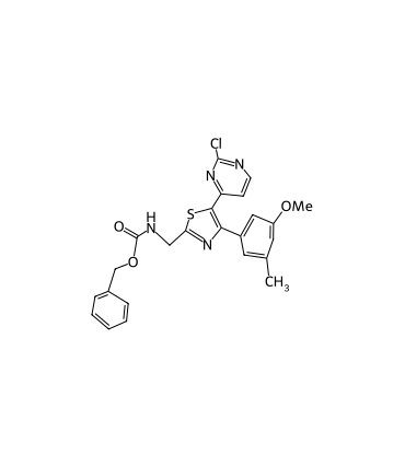 COc1cc(C)cc(-c2nc(CNC(=O)OCc3ccccc3)sc2-c2ccnc(Cl)n2)c1